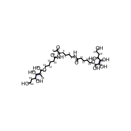 CC(=O)[C@@H](CCCCNC(=O)CCCCOC(O)/C(O)=C(/O)C(O)CCO)NC(=O)CCCCOC(O)/C(C)=C(\O)C(O)CCO